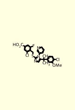 COc1cc(C(C)(C)c2cnc(SCc3c(F)cc(C(=O)O)cc3Cl)n2-c2cccnc2)ccc1Cl